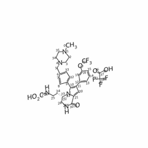 CN1CCN(Cc2ccc(-c3c(-c4cccc(OC(F)(F)F)c4)cc4n3[C@@H](CCNC(=O)O)CNC4=O)cc2)CC1.O=C(O)C(F)(F)F